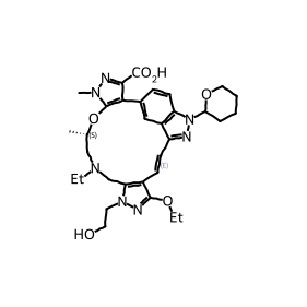 CCOc1nn(CCO)c2c1/C=C/c1nn(C3CCCCO3)c3ccc(cc13)-c1c(C(=O)O)nn(C)c1O[C@@H](C)CN(CC)C2